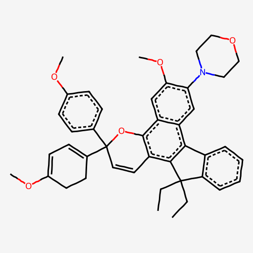 CCC1(CC)c2ccccc2-c2c1c1c(c3cc(OC)c(N4CCOCC4)cc23)OC(C2=CC=C(OC)CC2)(c2ccc(OC)cc2)C=C1